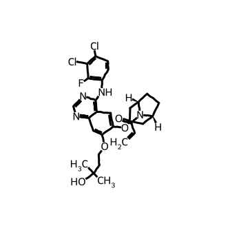 C=CC(=O)N1[C@@H]2CC[C@H]1CC(Oc1cc3c(Nc4ccc(Cl)c(Cl)c4F)ncnc3cc1OCCC(C)(C)O)C2